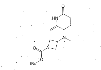 C=C1NC(=O)CCC1N(C)C1CN(C(=O)OC(C)(C)C)C1